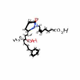 C[C@@H](CCCc1ccccc1)[C@H](O)CC[C@H]1CCC(=O)N1C/C=C\CCCC(=O)O